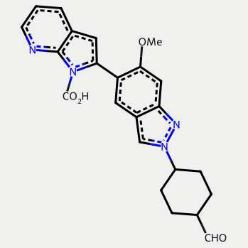 COc1cc2nn(C3CCC(C=O)CC3)cc2cc1-c1cc2cccnc2n1C(=O)O